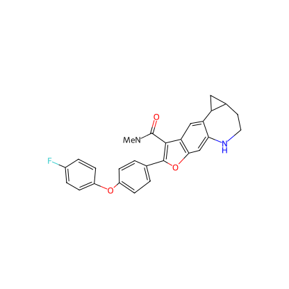 CNC(=O)c1c(-c2ccc(Oc3ccc(F)cc3)cc2)oc2cc3c(cc12)C1CC1CCN3